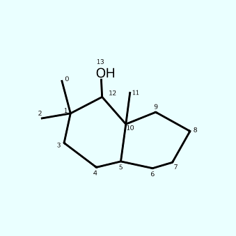 CC1(C)CCC2CCCCC2(C)C1O